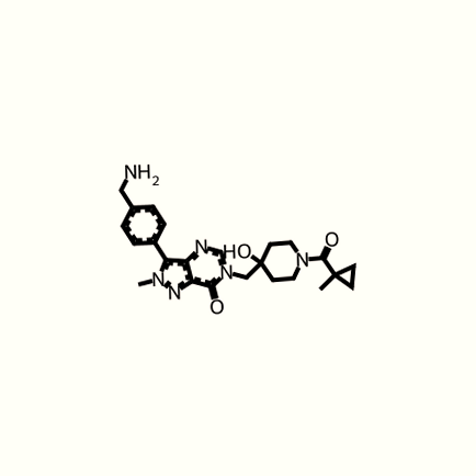 Cn1nc2c(=O)n(CC3(O)CCN(C(=O)C4(C)CC4)CC3)cnc2c1-c1ccc(CN)cc1